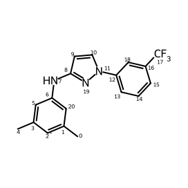 Cc1[c]c(C)cc(Nc2ccn(-c3cccc(C(F)(F)F)c3)n2)c1